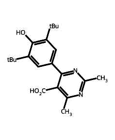 Cc1nc(C)c(C(=O)O)c(-c2cc(C(C)(C)C)c(O)c(C(C)(C)C)c2)n1